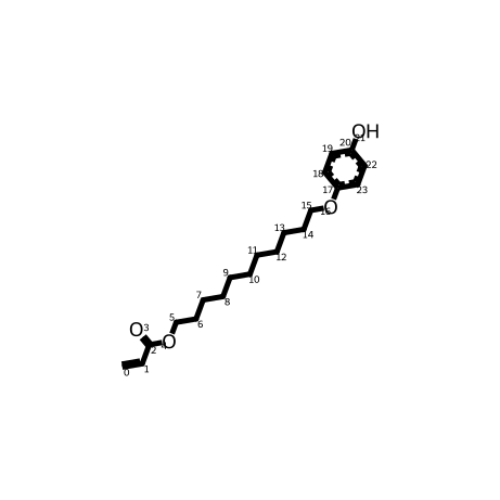 C=CC(=O)OCCCCCCCCCCCOc1ccc(O)cc1